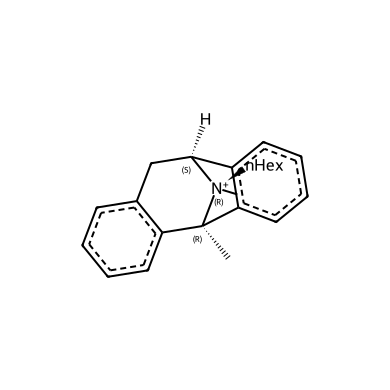 CCCCCC[N@+]1(C)[C@H]2Cc3ccccc3[C@]1(C)c1ccccc12